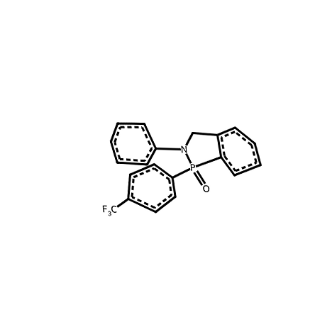 O=P1(c2ccc(C(F)(F)F)cc2)c2ccccc2CN1c1ccccc1